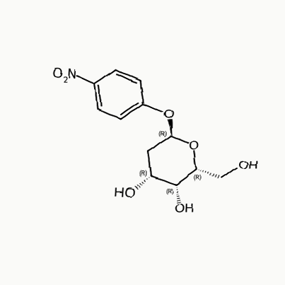 O=[N+]([O-])c1ccc(O[C@@H]2C[C@@H](O)[C@@H](O)[C@@H](CO)O2)cc1